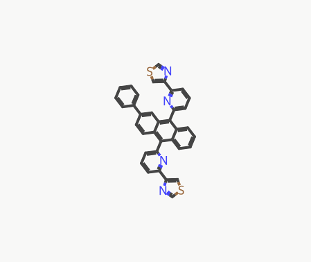 c1ccc(-c2ccc3c(-c4cccc(-c5cscn5)n4)c4ccccc4c(-c4cccc(-c5cscn5)n4)c3c2)cc1